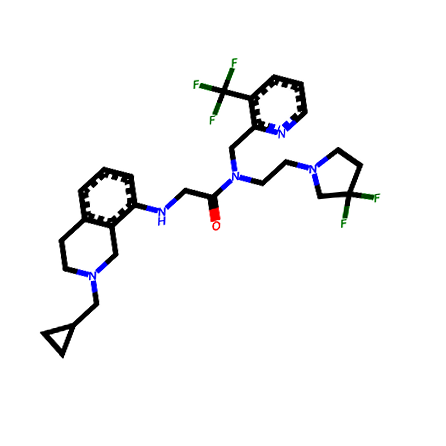 O=C(CNc1cccc2c1CN(CC1CC1)CC2)N(CCN1CCC(F)(F)C1)Cc1ncccc1C(F)(F)F